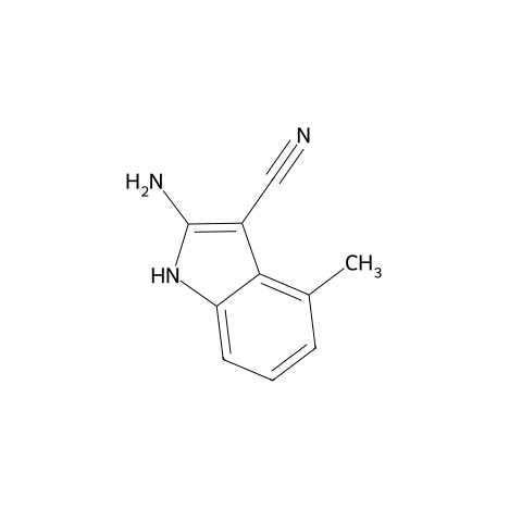 Cc1cccc2[nH]c(N)c(C#N)c12